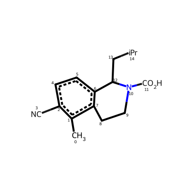 Cc1c(C#N)ccc2c1CCN(C(=O)O)C2CC(C)C